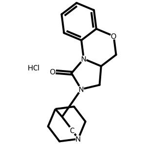 Cl.O=C1N(C2CN3CCC2CC3)CC2COc3ccccc3N12